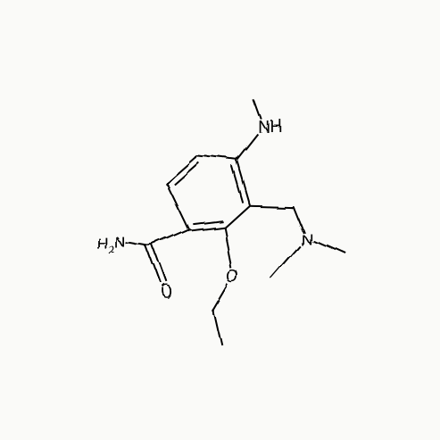 CCOc1c(C(N)=O)ccc(NC)c1CN(C)C